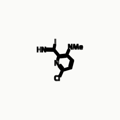 CNc1ccc(Cl)nc1C(=N)I